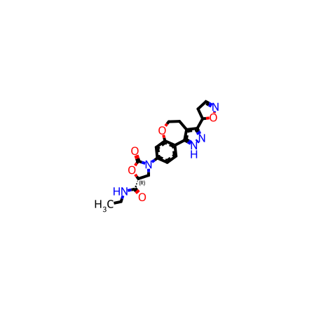 CCNC(=O)[C@H]1CN(c2ccc3c(c2)OCCc2c(C4CC=NO4)n[nH]c2-3)C(=O)O1